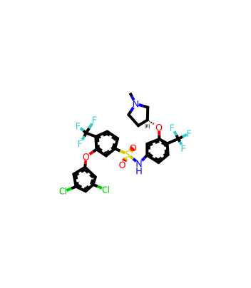 CN1CC[C@@H](Oc2cc(NS(=O)(=O)c3ccc(C(F)(F)F)c(Oc4cc(Cl)cc(Cl)c4)c3)ccc2C(F)(F)F)C1